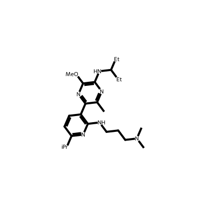 CCC(CC)Nc1nc(C)c(-c2ccc(C(C)C)nc2NCCCN(C)C)nc1OC